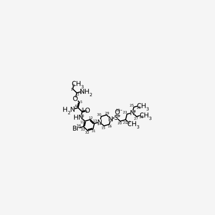 CCC(N)O/C=C(\N)C(=O)Nc1cc(N2CCN([S+]([O-])CC(C)CN(CC)CC)CC2)ccc1Br